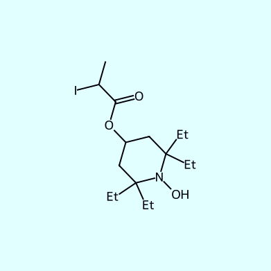 CCC1(CC)CC(OC(=O)C(C)I)CC(CC)(CC)N1O